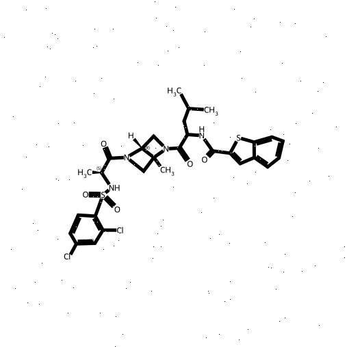 CC(C)CC(NC(=O)c1cc2ccccc2s1)C(=O)N1C[C@H]2N(C(=O)[C@H](C)NS(=O)(=O)c3ccc(Cl)cc3Cl)CC21C